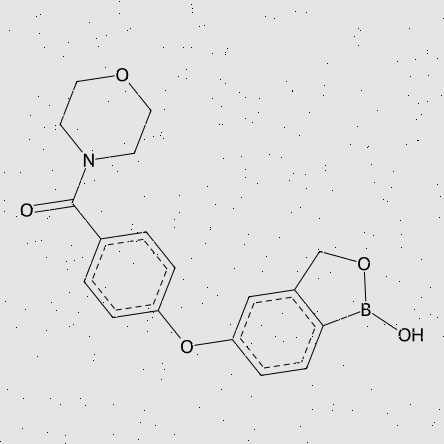 O=C(c1ccc(Oc2ccc3c(c2)COB3O)cc1)N1CCOCC1